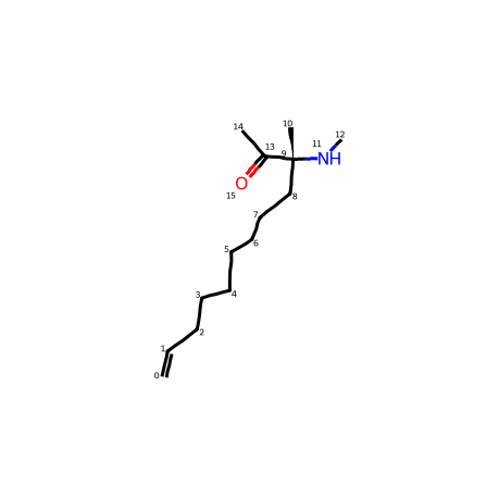 C=CCCCCCCC[C@@](C)(NC)C(C)=O